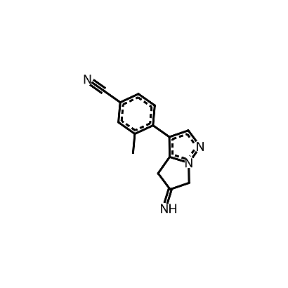 Cc1cc(C#N)ccc1-c1cnn2c1CC(=N)C2